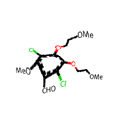 COCCOc1c(Cl)c(C=O)c(OC)c(Cl)c1OCCOC